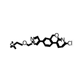 C[Si](C)(C)CCOCn1cc(-c2ccc3c(c2)COc2nc(Cl)ccc2-3)cn1